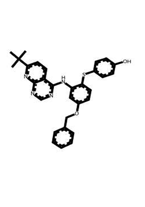 CC(C)(C)c1ccc2c(Nc3cc(OCc4ccccc4)ccc3Sc3ccc(O)cc3)ncnc2n1